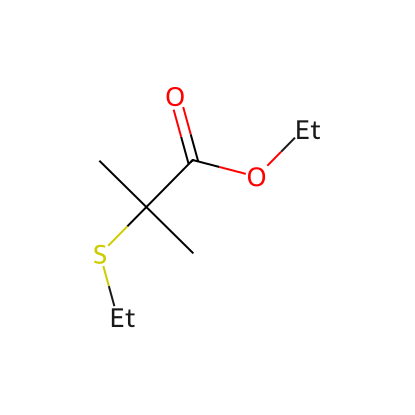 CCOC(=O)C(C)(C)SCC